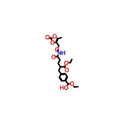 CCOC(=O)C(CCC(=O)NOCc1oc(=O)oc1C)Cc1ccc(C(O)OCC)cc1